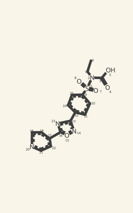 CCN(C(=O)O)S(=O)(=O)c1ccc(-c2noc(-c3ccncc3)n2)cc1